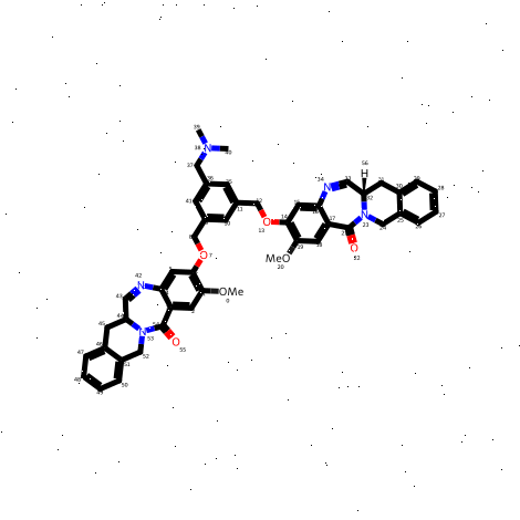 COc1cc2c(cc1OCc1cc(COc3cc4c(cc3OC)C(=O)N3Cc5ccccc5C[C@H]3C=N4)cc(CN(C)C)c1)N=CC1Cc3ccccc3CN1C2=O